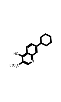 CCOC(=O)c1cnc2cc(C3CCCCC3)ccc2c1O